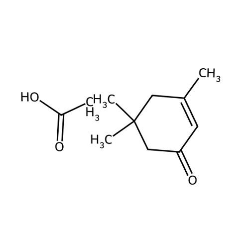 CC(=O)O.CC1=CC(=O)CC(C)(C)C1